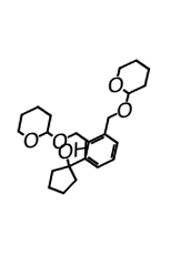 OC1(c2cccc(COC3CCCCO3)c2COC2CCCCO2)CCCC1